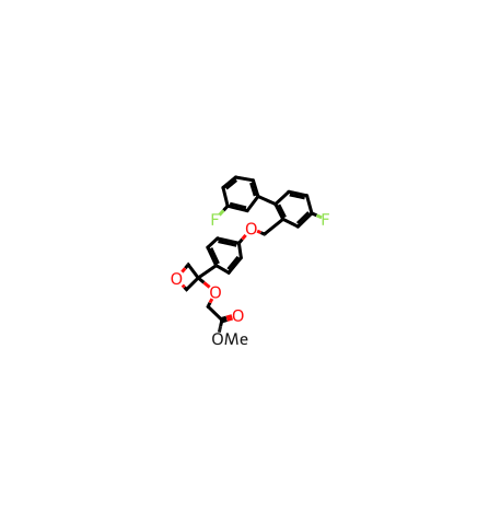 COC(=O)COC1(c2ccc(OCc3cc(F)ccc3-c3cccc(F)c3)cc2)COC1